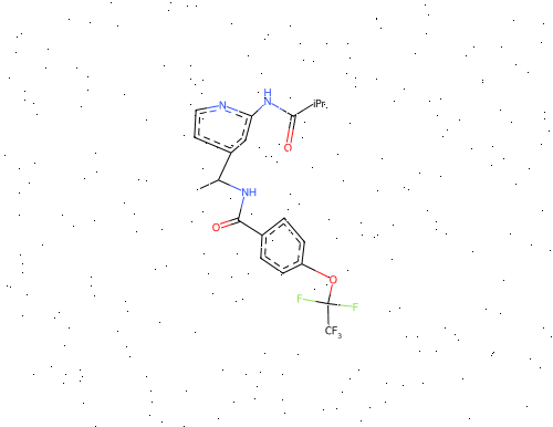 CC(C)C(=O)Nc1cc(C(C)NC(=O)c2ccc(OC(F)(F)C(F)(F)F)cc2)ccn1